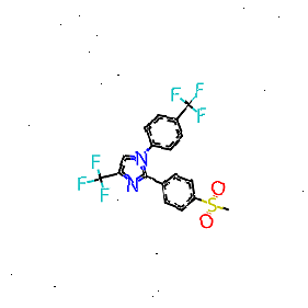 CS(=O)(=O)c1ccc(-c2nc(C(F)(F)F)cn2-c2ccc(C(F)(F)F)cc2)cc1